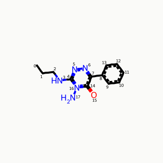 CCCNc1nnc(-c2ccccc2)c(=O)n1N